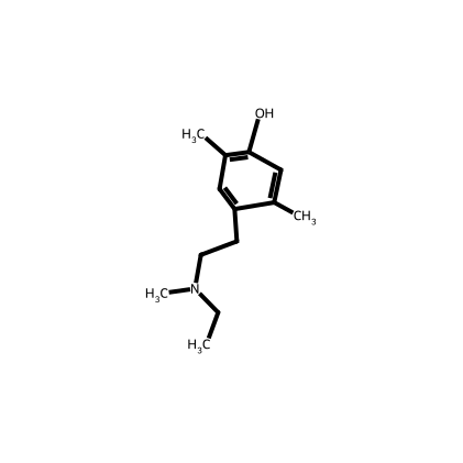 CCN(C)CCc1cc(C)c(O)cc1C